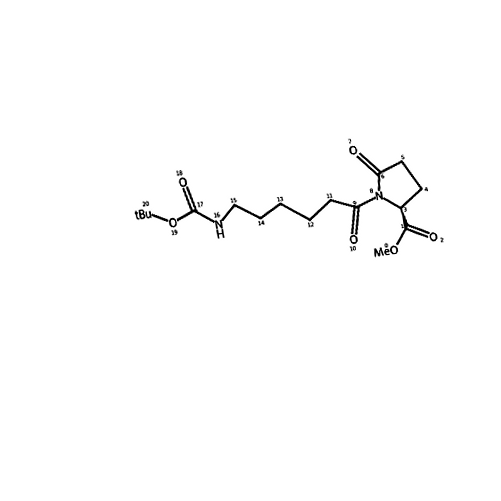 COC(=O)[C@@H]1CCC(=O)N1C(=O)CCCCCNC(=O)OC(C)(C)C